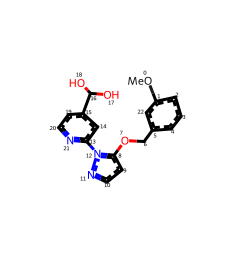 COc1cccc(COc2ccnn2-c2cc(C(O)O)ccn2)c1